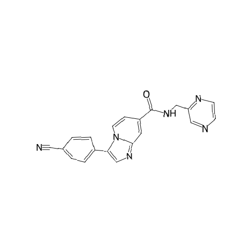 N#Cc1ccc(-c2cnc3cc(C(=O)NCc4cnccn4)ccn23)cc1